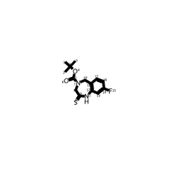 CC(C)(C)OC(=O)N1CC(=S)Nc2cc(F)ccc2C1